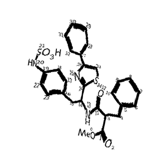 COC(=O)C(Cc1ccccc1)C(=O)NC(Cc1ccc(NS(=O)(=O)O)cc1)c1nc(-c2ccccc2)cs1